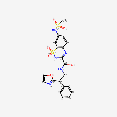 CS(=O)(=O)Nc1ccc2c(c1)S(=O)(=O)NC(C(=O)NCC(c1ccccc1)c1ncco1)=N2